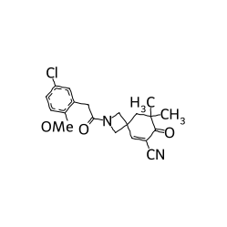 COc1ccc(Cl)cc1CC(=O)N1CC2(C=C(C#N)C(=O)C(C)(C)C2)C1